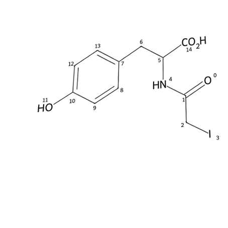 O=C(CI)NC(Cc1ccc(O)cc1)C(=O)O